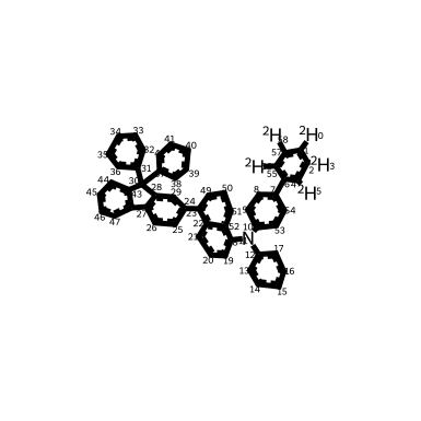 [2H]c1c([2H])c([2H])c(-c2ccc(N(c3ccccc3)c3cccc4c(-c5ccc6c(c5)C(c5ccccc5)(c5ccccc5)c5ccccc5-6)cccc34)cc2)c([2H])c1[2H]